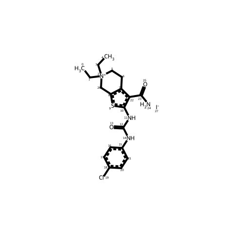 CC[N+]1(CC)CCc2c(sc(NC(=O)Nc3ccc(Cl)cc3)c2C(N)=O)C1.[I-]